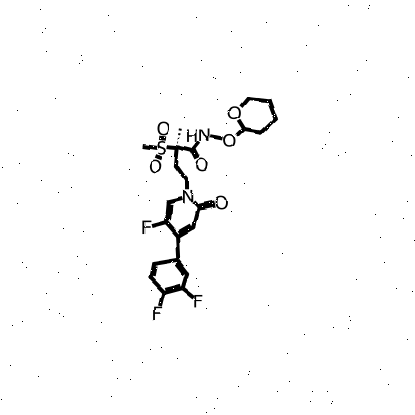 C[C@@](CCn1cc(F)c(-c2ccc(F)c(F)c2)cc1=O)(C(=O)NOC1CCCCO1)S(C)(=O)=O